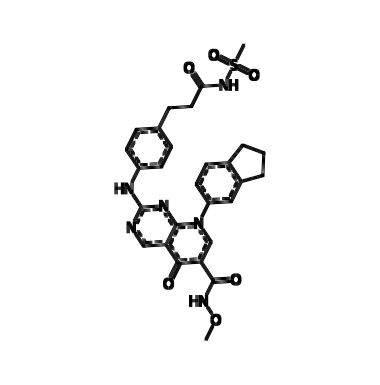 CONC(=O)c1cn(-c2ccc3c(c2)CCC3)c2nc(Nc3ccc(CCC(=O)NS(C)(=O)=O)cc3)ncc2c1=O